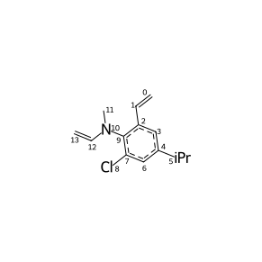 C=Cc1cc(C(C)C)cc(Cl)c1N(C)C=C